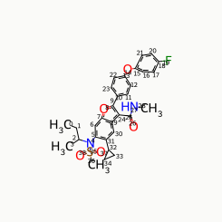 CCC(C)N(c1cc2oc(-c3ccc(Oc4ccc(F)cc4)cc3)c(C(=O)NC)c2cc1C1CC1)S(C)(=O)=O